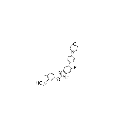 Cc1ccc(Oc2nc3cc(-c4ccc(N5CCOCC5)cc4)c(F)cc3[nH]2)cc1C(=O)O